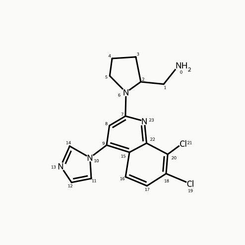 NCC1CCCN1c1cc(-n2ccnc2)c2ccc(Cl)c(Cl)c2n1